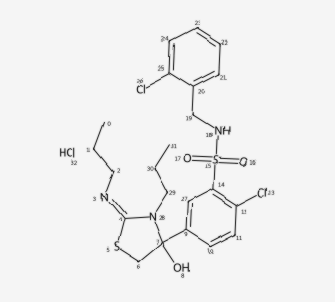 CCCN=C1SCC(O)(c2ccc(Cl)c(S(=O)(=O)NCc3ccccc3Cl)c2)N1CCC.Cl